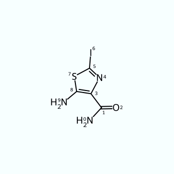 NC(=O)c1nc(I)sc1N